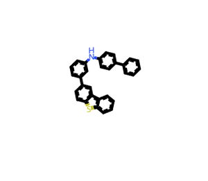 c1ccc(-c2ccc(Nc3cccc(-c4ccc5sc6ccccc6c5c4)c3)cc2)cc1